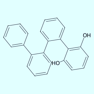 Oc1cccc(O)c1-c1ccccc1-c1ccccc1-c1ccccc1